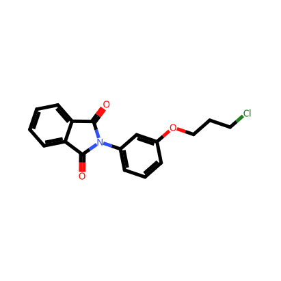 O=C1c2ccccc2C(=O)N1c1cccc(OCCCCl)c1